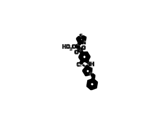 C[C@@]1(Nc2ccc(S(=O)(=O)N(C(=O)O)c3cscn3)cc2Cl)CCN(Cc2ccccc2)C1